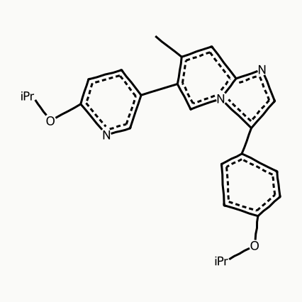 Cc1cc2ncc(-c3ccc(OC(C)C)cc3)n2cc1-c1ccc(OC(C)C)nc1